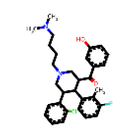 Cc1c(F)cccc1C1C(C(=O)c2cccc(O)c2)CN(CCCCN(C)C)CC1c1cc[c]cc1Cl